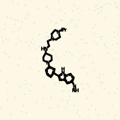 CC(C)N1CCN(CCNC2CCN(c3cccc(-c4cc5cc(N=N)ccc5[nH]4)c3)CC2)CC1